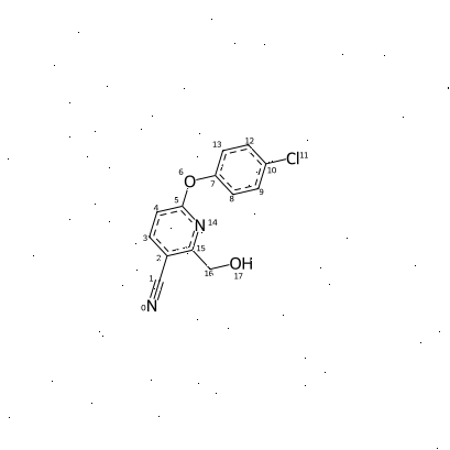 N#Cc1ccc(Oc2ccc(Cl)cc2)nc1CO